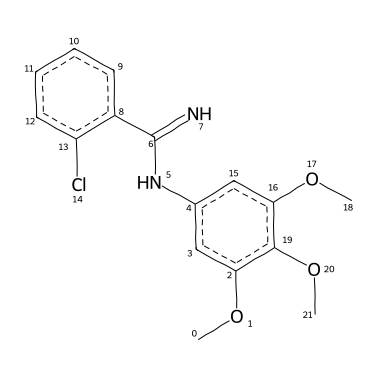 COc1cc(NC(=N)c2ccccc2Cl)cc(OC)c1OC